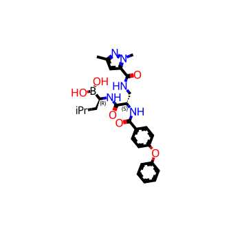 Cc1cc(C(=O)NC[C@H](NC(=O)c2ccc(Oc3ccccc3)cc2)C(=O)N[C@@H](CC(C)C)B(O)O)n(C)n1